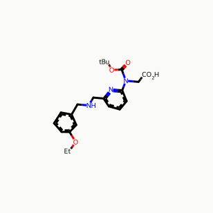 CCOc1cccc(CNCc2cccc(N(CC(=O)O)C(=O)OC(C)(C)C)n2)c1